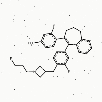 Cc1ccc(C2=C(c3ccc(CC4CN(CCCF)C4)c(F)c3)c3ccccc3CCC2)c(F)c1